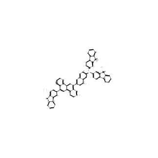 CC1(C)c2ccccc2-c2cc(-c3cc4c5ccccc5c(-c5ccc6cc(N(c7ccc8c(c7)C(C)(C)c7ccccc7-8)c7ccc8c(c7)C(C)(C)c7ccccc7-8)ccc6c5)cc4c4ccccc34)ccc21